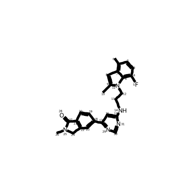 Cc1ccc(F)c2c1cc(C)n2CCNc1cc(-c2ccc3c(c2)CN(C)C3=O)ncn1